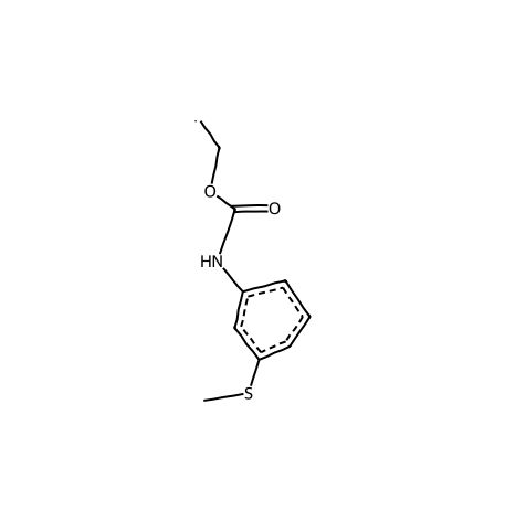 [CH2]COC(=O)Nc1cccc(SC)c1